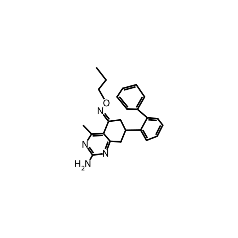 CCCON=C1CC(c2ccccc2-c2ccccc2)Cc2nc(N)nc(C)c21